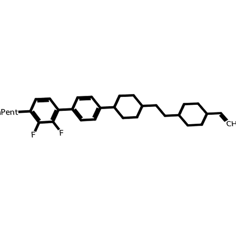 C=CC1CCC(CCC2CCC(c3ccc(-c4ccc(CCCCC)c(F)c4F)cc3)CC2)CC1